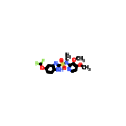 COc1ccnc(N(C)S(=O)(=O)c2nc3cc(OC(F)F)ccc3[nH]2)c1OC